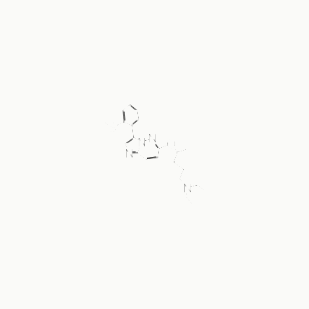 CCN(CC)CCCC(C)Oc1ccc2ncc(-c3ccccc3SC)n2n1